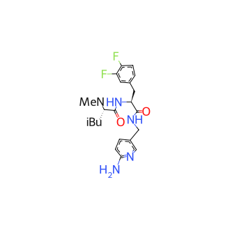 CCC(C)[C@H](NC)C(=O)N[C@@H](Cc1ccc(F)c(F)c1)C(=O)NCc1ccc(N)nc1